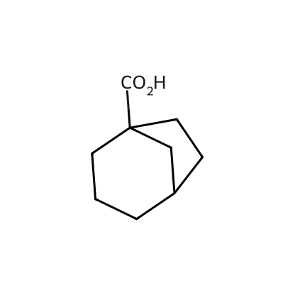 O=C(O)C12CCCC(CC1)C2